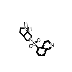 O=S(=O)(c1cccc2cnccc12)N1CC2CCN[C@@H]2C1